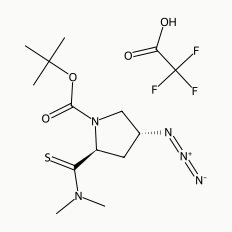 CN(C)C(=S)[C@@H]1C[C@@H](N=[N+]=[N-])CN1C(=O)OC(C)(C)C.O=C(O)C(F)(F)F